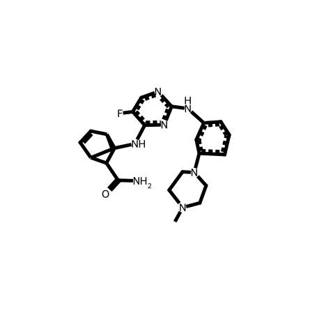 CN1CCN(c2cccc(Nc3ncc(F)c(NC4C5C=CC(C5)C4C(N)=O)n3)c2)CC1